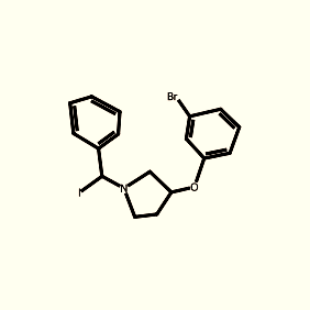 Brc1cccc(OC2CCN(C(I)c3ccccc3)C2)c1